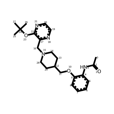 CC(=O)Nc1ccccc1OCC1CCN(Cc2nccnc2OC(C)(C)C)CC1